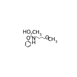 COCCCCNC(Oc1ccccc1)C(C)O